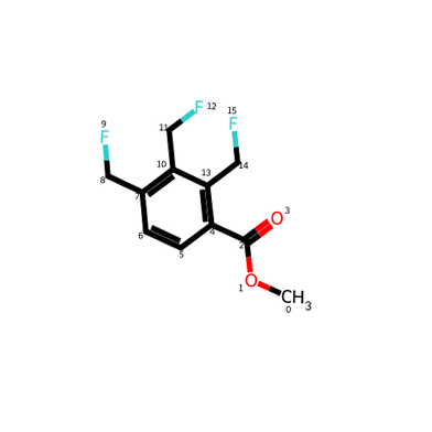 COC(=O)c1ccc(CF)c(CF)c1CF